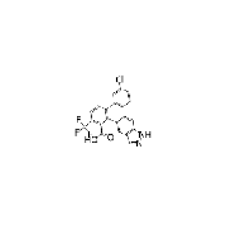 O=C(O)c1c(C(F)(F)F)ccc(-c2cccc(Cl)c2)c1-c1ccc2[nH]ncc2c1